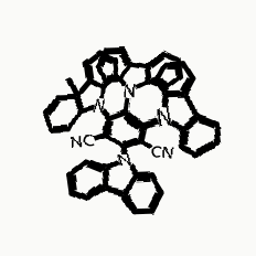 CC12C=CC=CC1N(c1c(C#N)c(-n3c4ccccc4c4ccccc43)c(C#N)c(-n3c4ccccc4c4ccccc43)c1-n1c3ccccc3c3ccccc31)c1ccccc12